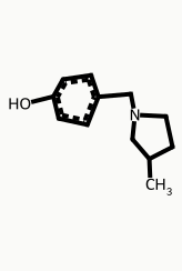 CC1CCN(Cc2ccc(O)cc2)C1